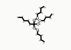 CCCCCC(OOCCCC)(OOCCCC)OOCCCC